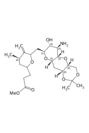 C=C1C(C[C@@H]2O[C@H]3C[C@H]4OC(C)(C)OC[C@H]4O[C@H]3[C@H](N)[C@H]2O)OC(CCC(=O)OC)C[C@H]1C